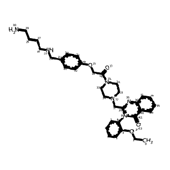 CCOc1ccccc1-n1c(CN2CCN(C(=O)COc3ccc(CNCCCCN)cc3)CC2)nc2ccccc2c1=O